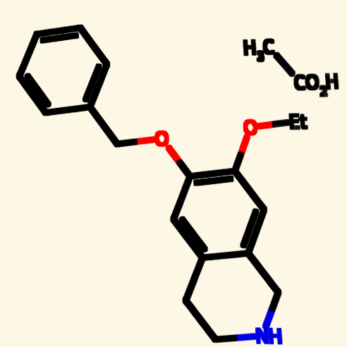 CC(=O)O.CCOc1cc2c(cc1OCc1ccccc1)CCNC2